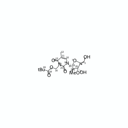 CO[C@@H]1[C@@H](O)[C@H](CO)O[C@H]1n1cc(C)c(=O)n(COC(=O)C(C)(C)C)c1=O